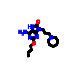 CCCCOc1nc(N)c2[nH]c(=O)n(CCCN3CCCCCC3)c2n1